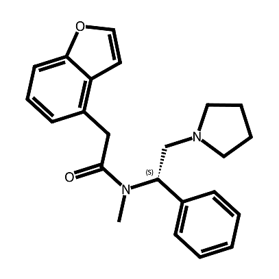 CN(C(=O)Cc1cccc2occc12)[C@H](CN1CCCC1)c1ccccc1